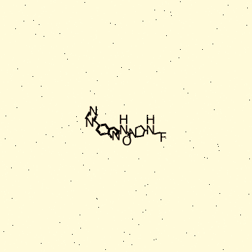 O=C(Nc1cc2cc(-c3cnccn3)ccc2cn1)N1CCC(NCCF)CC1